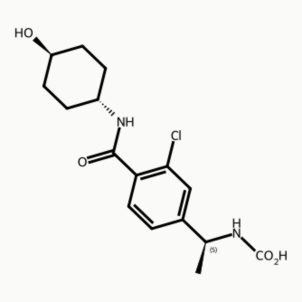 C[C@H](NC(=O)O)c1ccc(C(=O)N[C@H]2CC[C@H](O)CC2)c(Cl)c1